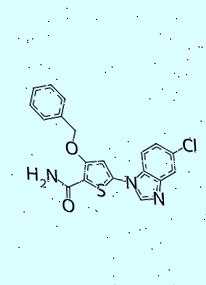 NC(=O)c1sc(-n2cnc3cc(Cl)ccc32)cc1OCc1ccccc1